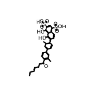 CCCCCCC(=O)c1ccc(-c2ccc(-c3ccc4c(S(=O)(=O)O)cc(S(=O)(=O)O)c(O)c4c3O)c(C)c2)cc1C